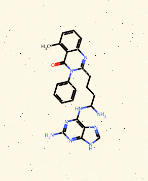 Cc1cccc2nc(CCCC(N)Nc3nc(N)nc4[nH]cnc34)n(-c3ccccc3)c(=O)c12